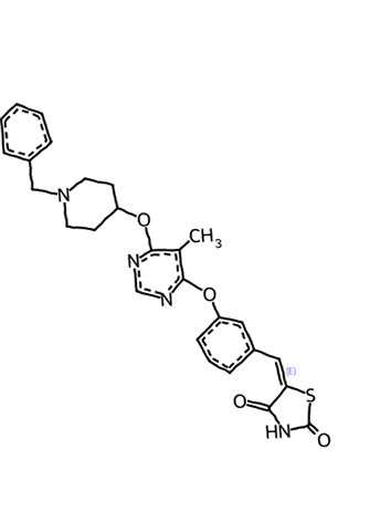 Cc1c(Oc2cccc(/C=C3/SC(=O)NC3=O)c2)ncnc1OC1CCN(Cc2ccccc2)CC1